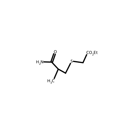 CCOC(=O)CSCC(C)C(N)=O